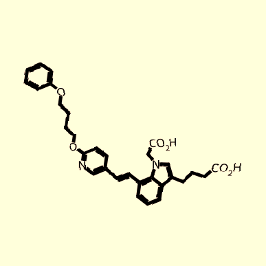 O=C(O)CCCc1cn(CC(=O)O)c2c(/C=C/c3ccc(OCCCCOc4ccccc4)nc3)cccc12